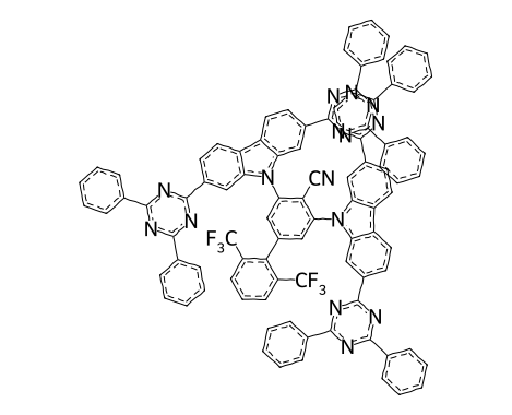 N#Cc1c(-n2c3cc(-c4ncnc(-c5ccccc5)n4)ccc3c3ccc(-c4nc(-c5ccccc5)nc(-c5ccccc5)n4)cc32)cc(-c2c(C(F)(F)F)cccc2C(F)(F)F)cc1-n1c2cc(-c3nc(-c4ccccc4)nc(-c4ccccc4)n3)ccc2c2ccc(-c3nc(-c4ccccc4)nc(-c4ccccc4)n3)cc21